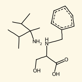 CC(C)C(C)(N)C(C)C.O=C(O)C(CO)NCc1ccccc1